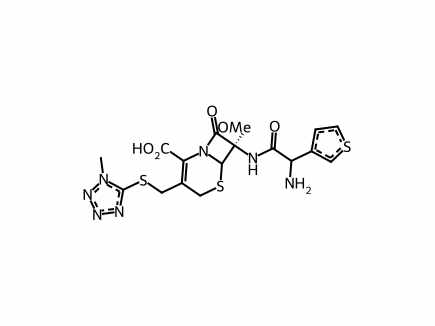 CO[C@@]1(NC(=O)C(N)c2ccsc2)C(=O)N2C(C(=O)O)=C(CSc3nnnn3C)CSC21